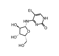 CCc1c[nH]c(=O)nc1N[C@@H]1O[C@H](CO)[C@H](O)[C@H]1O